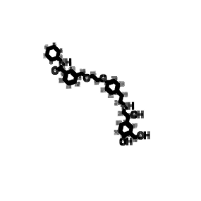 O=C(NC1CCCCC1)c1cccc(COCCOc2ccc(CCNC[C@H](O)c3ccc(O)c(CO)c3)cc2)c1